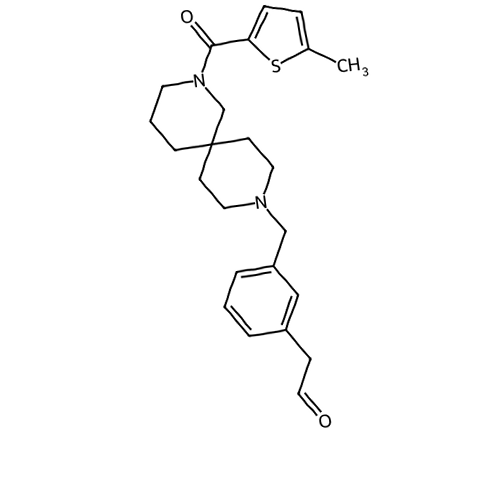 Cc1ccc(C(=O)N2CCCC3(CCN(Cc4cccc(CC=O)c4)CC3)C2)s1